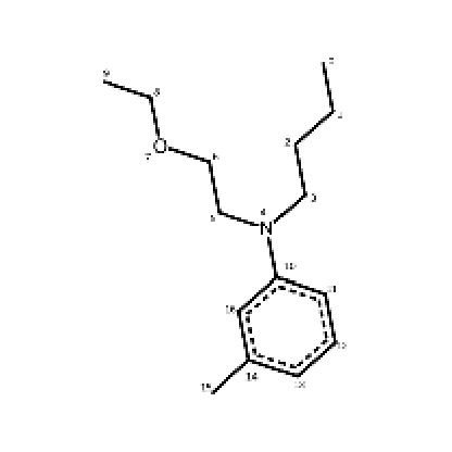 CCCCN(CCOCC)c1cccc(C)c1